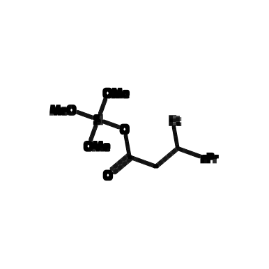 CCCC(CC)CC(=O)O[Si](OC)(OC)OC